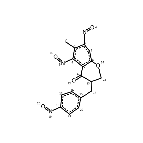 Cc1c(N=O)cc2c(c1N=O)C(=O)C(Cc1ccc(N=O)cc1)CO2